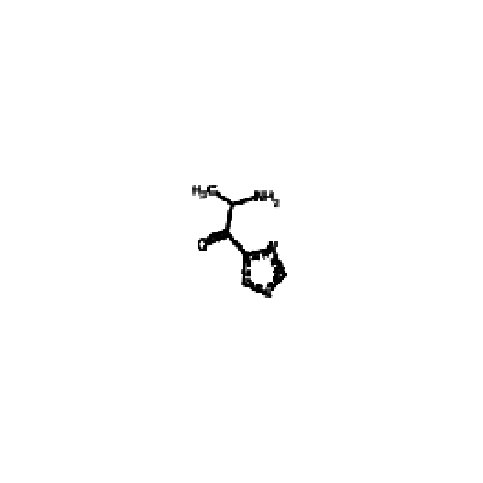 CC(N)C(=O)c1cscn1